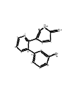 O=c1ccc(-c2ncccc2-c2cccc(Br)c2)c[nH]1